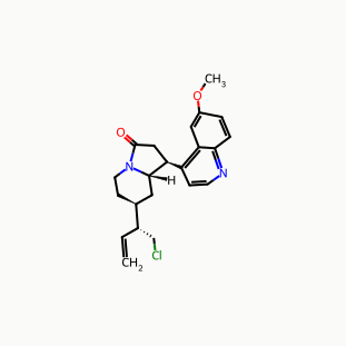 C=C[C@@H](CCl)[C@H]1CCN2C(=O)C[C@@H](c3ccnc4ccc(OC)cc34)[C@@H]2C1